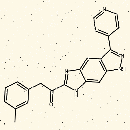 Cc1cccc(CC(=O)c2nc3cc4c(-c5ccncc5)n[nH]c4cc3[nH]2)c1